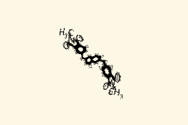 CCN1C(=O)c2ccc(Cc3ccc4cc(Cc5ccc6c(c5)C(=O)N(CC)C6=O)ccc4c3)cc2C1=O